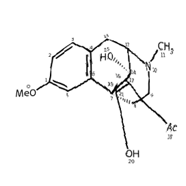 COc1ccc2c(c1)[C@@]13CCN(C)C(C2)[C@@]1(O)CC(C(C)=O)=C(O)C3